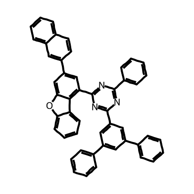 c1ccc(-c2cc(-c3ccccc3)cc(-c3nc(-c4ccccc4)nc(-c4cc(-c5ccc6ccccc6c5)cc5oc6ccccc6c45)n3)c2)cc1